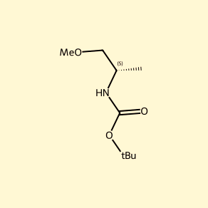 COC[C@H](C)NC(=O)OC(C)(C)C